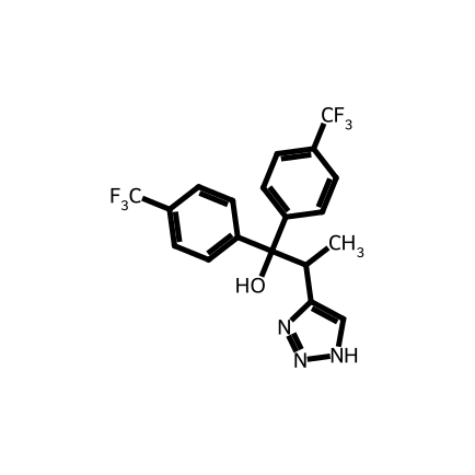 CC(c1c[nH]nn1)C(O)(c1ccc(C(F)(F)F)cc1)c1ccc(C(F)(F)F)cc1